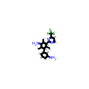 Cc1c(N)c(C)c(-c2nccc(C(F)(F)F)n2)c(C)c1-c1cccc(N)c1